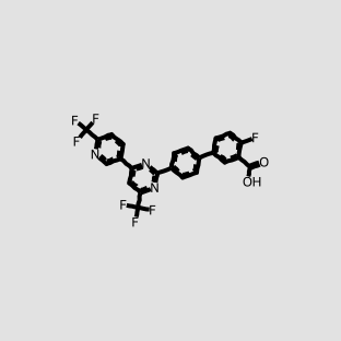 O=C(O)c1cc(-c2ccc(-c3nc(-c4ccc(C(F)(F)F)nc4)cc(C(F)(F)F)n3)cc2)ccc1F